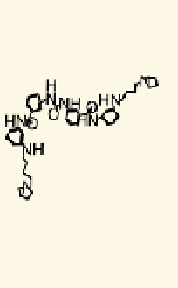 O=C(Nc1cccc(C(=O)Nc2cccc(NCCCCN3CCCC3)c2)c1)Nc1cccc(C(=O)Nc2cccc(NCCCCN3CCCC3)c2)c1